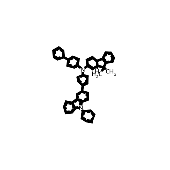 CC1(C)c2ccccc2C2C=CC(N(c3ccc(-c4ccccc4)cc3)c3ccc(-c4ccc5c(c4)c4ccccc4n5-c4ccccc4)cc3)=C[C@H]21